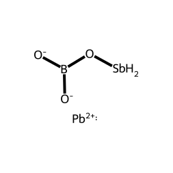 [O-]B([O-])[O][SbH2].[Pb+2]